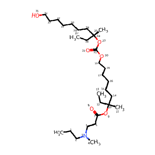 CCCN(C)CCC(=O)OC(C)(CC)CCCCCCOC(=O)OC(C)(CC)CCCCCCCO